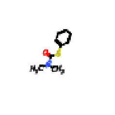 CN(C)C(=O)Sc1ccccc1